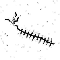 CCO[Si](CC)(OCC)OCCC(F)(F)C(F)(F)C(F)(F)C(F)(F)C(F)(F)C(F)(F)C(F)(F)C(F)(F)C(F)(F)C(F)(F)F